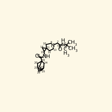 CC(C)(C)NC(=O)CN1CCC2(CC1)CC2NC(=O)C12CC3CC(C1)C(C3)C2